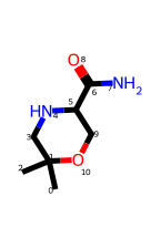 CC1(C)CNC(C(N)=O)CO1